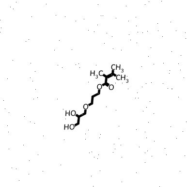 CC(C)=C(C)C(=O)OCCCOCC(O)CO